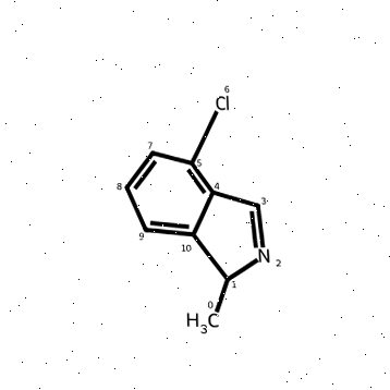 CC1N=Cc2c(Cl)cccc21